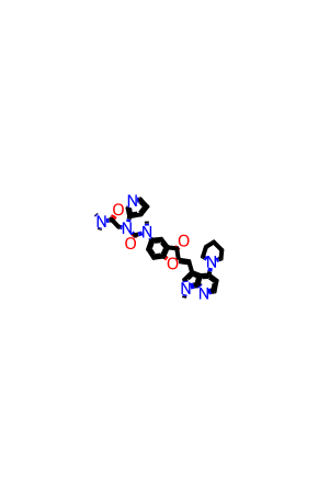 CN(C)C(=O)CN(C(=O)N(C)c1ccc2c(c1)C(=O)C(=Cc1cn(C)c3nccc(N4CCCCC4)c13)O2)c1cccnc1